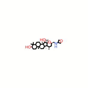 C[C@@H]1C[C@H](CNC2COC2)O[C@H]2C1[C@@]1(C)CC[C@@]34C[C@@]35CC[C@H](O)C(C)(C)C5CCC4[C@]1(C)[C@H]2O